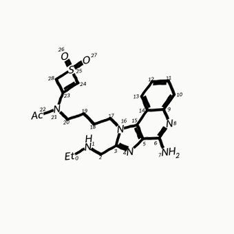 CCNCc1nc2c(N)nc3ccccc3c2n1CCCCN(C(C)=O)C1=CS(=O)(=O)C1